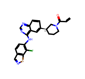 C=CC(=O)N1CCC[C@@H](c2ccc3ncnc(Nc4ccc5cnsc5c4F)c3c2)C1